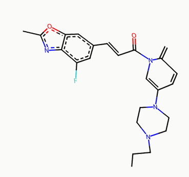 C=C1C=CC(N2CCN(CCC)CC2)=CN1C(=O)/C=C/c1cc(F)c2nc(C)oc2c1